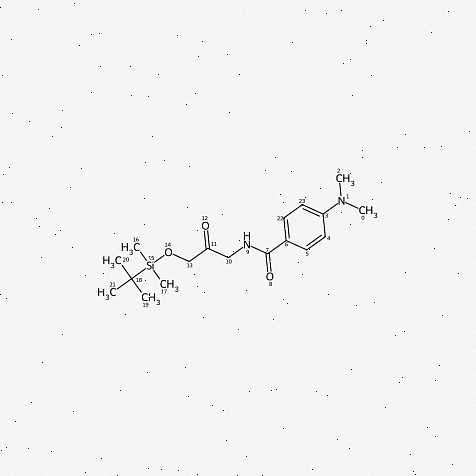 CN(C)c1ccc(C(=O)NCC(=O)CO[Si](C)(C)C(C)(C)C)cc1